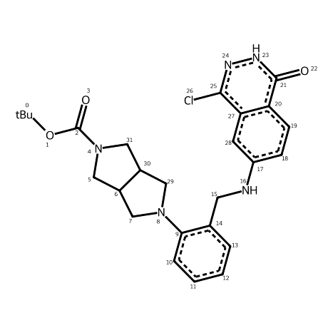 CC(C)(C)OC(=O)N1CC2CN(c3ccccc3CNc3ccc4c(=O)[nH]nc(Cl)c4c3)CC2C1